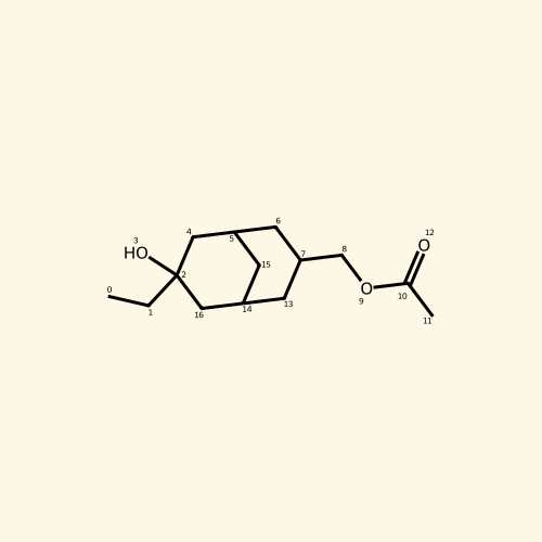 CCC1(O)CC2CC(COC(C)=O)CC(C2)C1